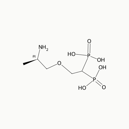 C[C@@H](N)COCC(P(=O)(O)O)P(=O)(O)O